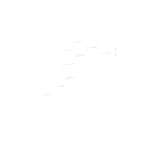 Cc1c(F)cc(C(=O)NC2CC2)cc1-c1ccc(C(=O)NCCS(C)(=O)=O)cc1